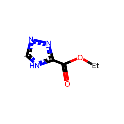 CCOC(=O)c1nn[c][nH]1